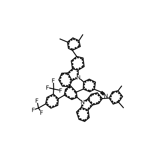 Cc1cc(C)cc(-c2ccc3c(c2)c2ccccc2n3-c2ccc(C#N)cc2-c2ccc(-c3ccc(C(F)(F)F)cc3C(F)(F)F)cc2-n2c3ccccc3c3cc(-c4cc(C)cc(C)c4)ccc32)c1